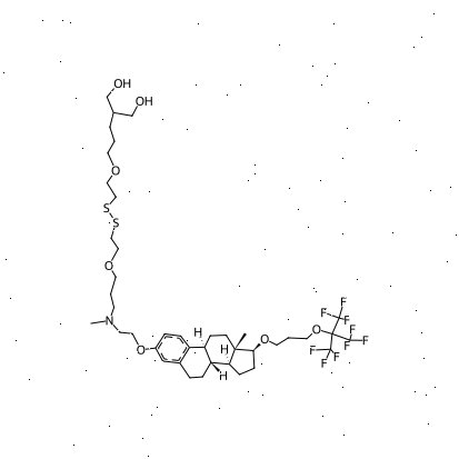 CN(CCCOCCSSCCOCCCC(CO)CO)CCOc1ccc2c(c1)CC[C@@H]1[C@@H]2CC[C@]2(C)[C@@H](OCCCOC(C(F)(F)F)(C(F)(F)F)C(F)(F)F)CC[C@@H]12